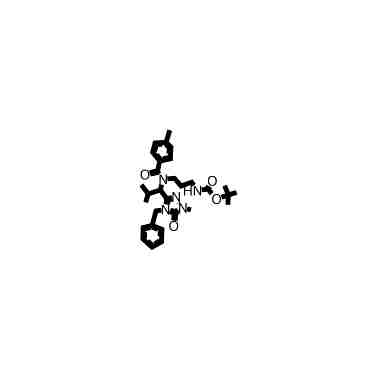 Cc1ccc(C(=O)N(CCCNC(=O)OC(C)(C)C)C(c2nn(C)c(=O)n2Cc2ccccc2)C(C)C)cc1